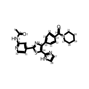 CC(=O)Nc1cc(-c2nc(-c3ccc(C(=O)N4CCCCC4)cc3)c(-c3ncc[nH]3)s2)ccn1